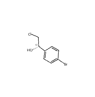 O[C@H](CCl)c1ccc(Br)cc1